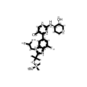 CC(C)(O[Si](C)(C)C(C)(C)C)c1nc2c(F)cc(-c3nc(N[C@@H]4CCOC[C@H]4O)ncc3Cl)cc2n1CC(F)F